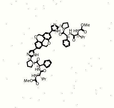 COC(=O)N[C@H](C(=O)N[C@@H](C(=O)N1CCC[C@H]1c1ncc(-c2cc3c4c(c2)OCc2cc(-c5cnc([C@@H]6CCCN6C(=O)[C@H](NC(=O)[C@@H](NC(=O)OC)C(C)C)c6ccccc6)[nH]5)cc(c2-4)OC3)[nH]1)c1ccccc1)C(C)C